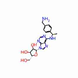 C[C@@H](Nc1ncnc2c1ncn2[C@@H]1O[C@H](CO)[C@@H](O)[C@H]1O)c1ccc(CN)cc1